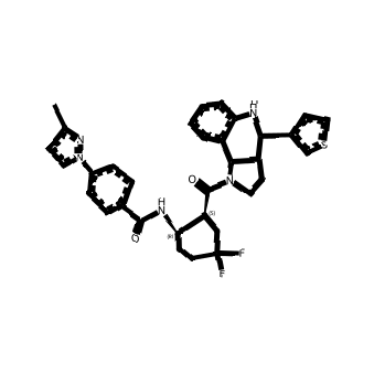 Cc1ccn(-c2ccc(C(=O)N[C@@H]3CCC(F)(F)C[C@@H]3C(=O)N3CCC4C(c5ccsc5)Nc5ccccc5C43)cc2)n1